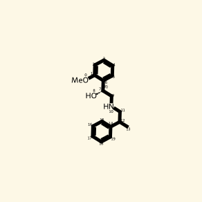 COc1ccccc1[C@@H](O)CNCC(C)c1ccccc1